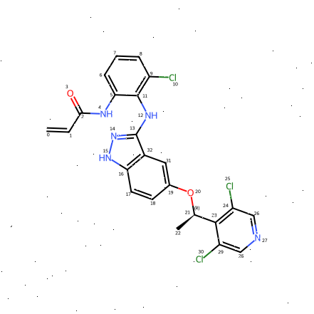 C=CC(=O)Nc1cccc(Cl)c1Nc1n[nH]c2ccc(O[C@H](C)c3c(Cl)cncc3Cl)cc12